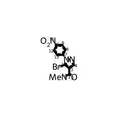 CNC(=O)c1cnn(-c2ccc([N+](=O)[O-])cc2)c1Br